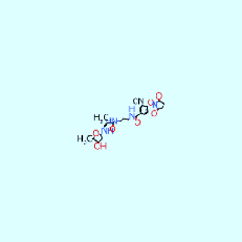 C/C(=C/N[C@H]1C[C@H](O)C(C)O1)C(=O)NCCCNC(=O)c1ccc(ON2C(=O)CCC2=O)c(C#N)c1